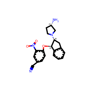 N#Cc1ccc(O[C@@H]2c3ccccc3C[C@H]2N2CC[C@H](N)C2)c([N+](=O)[O-])c1